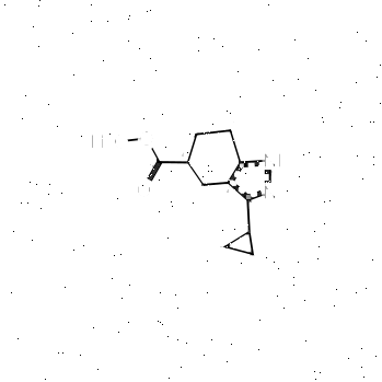 COC(=O)C1CCc2[nH]nc(C3CC3)c2C1